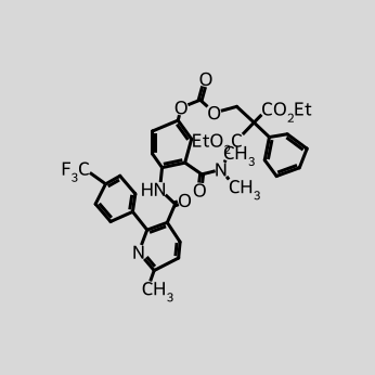 CCOC(=O)C(COC(=O)Oc1ccc(NC(=O)c2ccc(C)nc2-c2ccc(C(F)(F)F)cc2)c(C(=O)N(C)C)c1)(C(=O)OCC)c1ccccc1